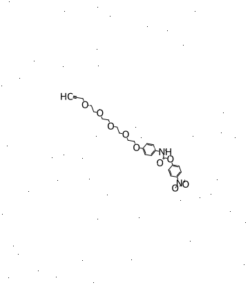 C#CCOCCOCCOCCOCCOc1ccc(NC(=O)Oc2ccc([N+](=O)[O-])cc2)cc1